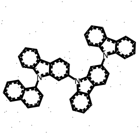 c1ccc2c(-n3c4ccccc4c4ccc(-n5c6ccccc6c6ccc(-n7c8ccccc8c8ccccc87)cc65)cc43)cccc2c1